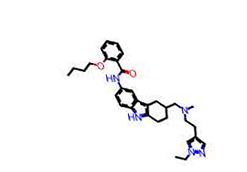 CCCCOc1ccccc1C(=O)Nc1ccc2[nH]c3c(c2c1)CC(CN(C)CCc1cnn(CC)c1)CC3